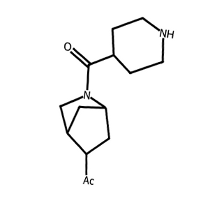 CC(=O)C1CC2CC1CN2C(=O)C1CCNCC1